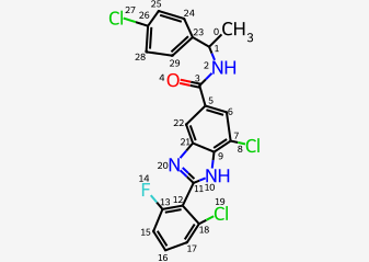 CC(NC(=O)c1cc(Cl)c2[nH]c(-c3c(F)cccc3Cl)nc2c1)c1ccc(Cl)cc1